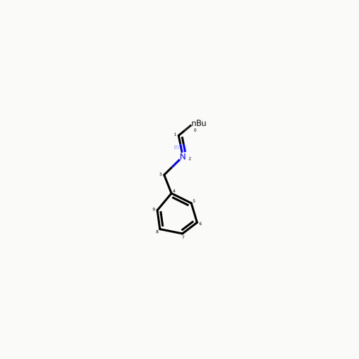 CCCC/C=N/Cc1ccccc1